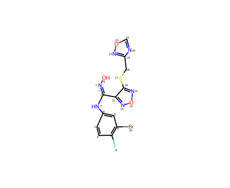 O/N=C(/Nc1ccc(F)c(Br)c1)c1nonc1SCc1ncon1